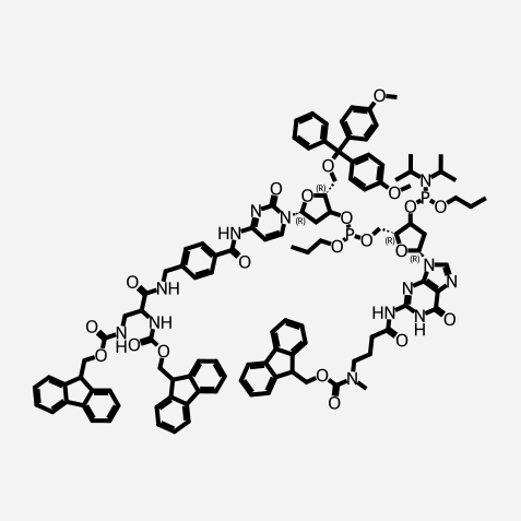 CCCOP(OC[C@H]1O[C@@H](n2cnc3c(=O)[nH]c(NC(=O)CCCN(C)C(=O)OCC4c5ccccc5-c5ccccc54)nc32)CC1OP(OCCC)N(C(C)C)C(C)C)OC1C[C@H](n2ccc(NC(=O)c3ccc(CNC(=O)C(CNC(=O)OCC4c5ccccc5-c5ccccc54)NC(=O)OCC4c5ccccc5-c5ccccc54)cc3)nc2=O)O[C@@H]1COC(c1ccccc1)(c1ccc(OC)cc1)c1ccc(OC)cc1